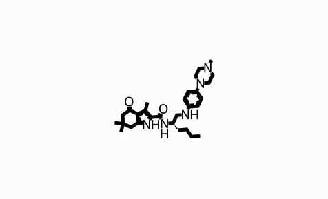 CCCC[C@@H](CNc1ccc(N2CCN(C)CC2)cc1)NC(=O)c1[nH]c2c(c1C)C(=O)CC(C)(C)C2